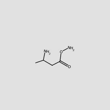 CC(N)CC(=O)ON